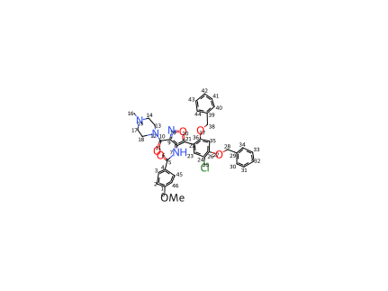 COc1ccc(C(=O)Nc2c(C(=O)N3CCN(C)CC3)noc2-c2cc(Cl)c(OCc3ccccc3)cc2OCc2ccccc2)cc1